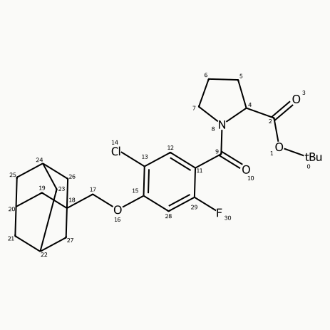 CC(C)(C)OC(=O)C1CCCN1C(=O)c1cc(Cl)c(OCC23CC4CC(CC(C4)C2)C3)cc1F